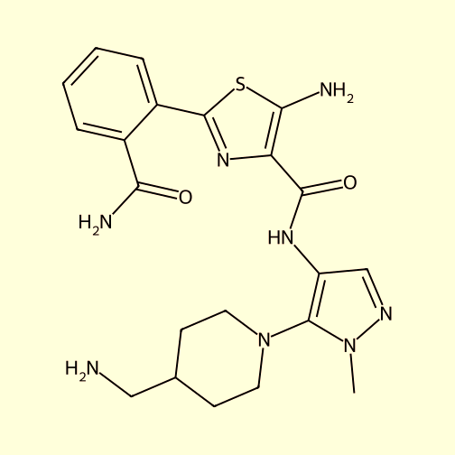 Cn1ncc(NC(=O)c2nc(-c3ccccc3C(N)=O)sc2N)c1N1CCC(CN)CC1